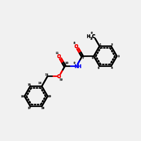 Cc1ccccc1C(=O)NC(=O)OCc1ccccc1